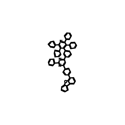 c1ccc(-c2nc(-c3ccc(-c4cccc5c4oc4ccccc45)cc3)cc(-c3cccc(-c4c(-c5ccccc5)c(-c5ccccc5)nc(-c5ccccc5)c4-c4ccccc4)c3)n2)cc1